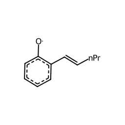 CCC/C=C/c1ccccc1[O]